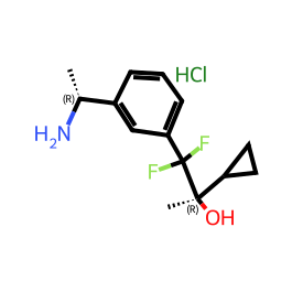 C[C@@H](N)c1cccc(C(F)(F)[C@](C)(O)C2CC2)c1.Cl